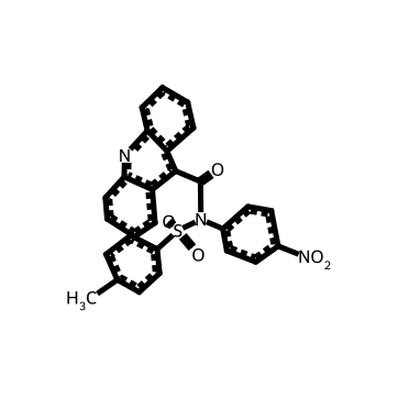 Cc1ccc(S(=O)(=O)N(C(=O)c2c3ccccc3nc3ccccc23)c2ccc([N+](=O)[O-])cc2)cc1